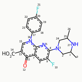 CC1CN(c2nc3c(cc2F)c(=O)c(C(=O)O)cn3-c2ccc(F)cc2)CC(C)N1